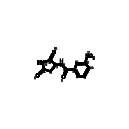 O=C1CC(NC(=O)c2cccc([N+](=O)[O-])c2)C(=O)N1